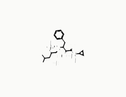 CC(C)CC(N)C(=O)NC(Cc1ccccc1)C(O)C(=O)NC1CC1.Cl